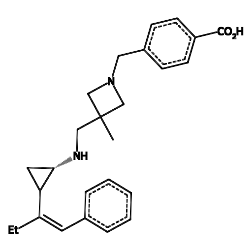 CCC(=Cc1ccccc1)C1C[C@@H]1NCC1(C)CN(Cc2ccc(C(=O)O)cc2)C1